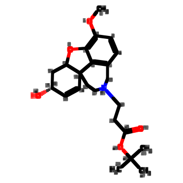 COc1ccc2c3c1OC1C[C@@H](O)C=CC31CCN(CCC(=O)OC(C)(C)C)C2